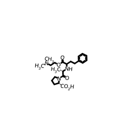 C[C@H](NC(CCc1ccccc1)C(=O)OCCN(C)C)C(=O)N1CCC[C@H]1C(=O)O